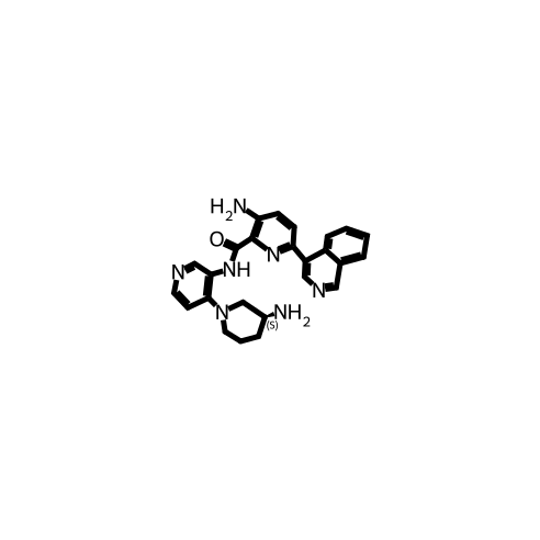 Nc1ccc(-c2cncc3ccccc23)nc1C(=O)Nc1cnccc1N1CCC[C@H](N)C1